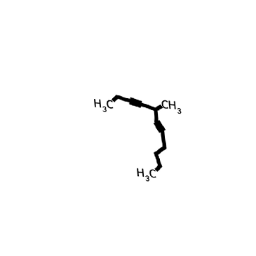 CCC#C[C](C)C#CCCCC